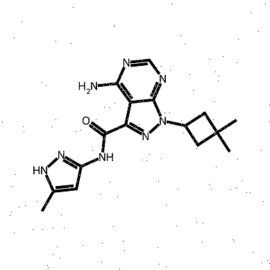 Cc1cc(NC(=O)c2nn(C3CC(C)(C)C3)c3ncnc(N)c23)n[nH]1